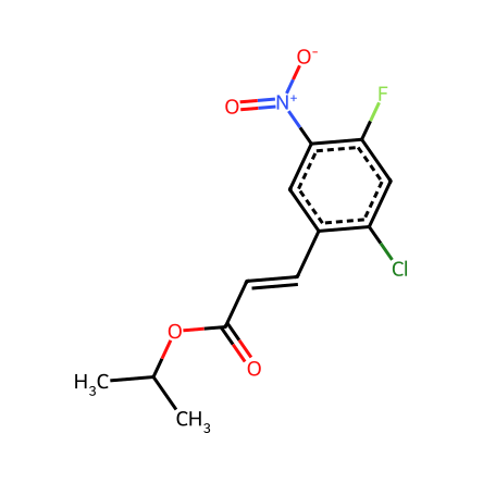 CC(C)OC(=O)C=Cc1cc([N+](=O)[O-])c(F)cc1Cl